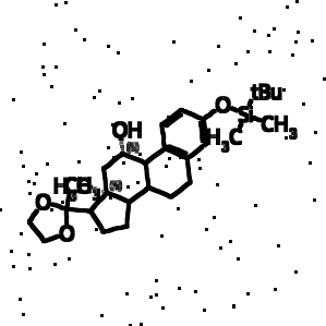 CC1(C2CCC3C4CCc5cc(O[Si](C)(C)C(C)(C)C)ccc5C4[C@@H](O)C[C@@]32C)OCCO1